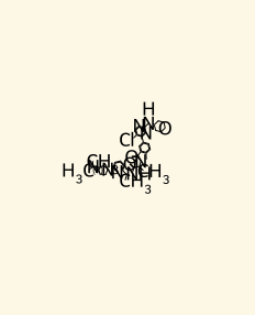 CC(NC(=O)C(C)N1Cc2ccc(-c3nc(NC4CCOCC4)ncc3Cl)cc2C1=O)c1cccc(N2CC[C@@H](N(C)C)C2)n1